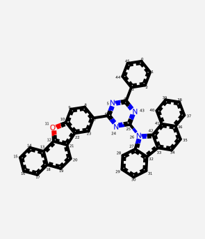 c1ccc(-c2nc(-c3ccc4oc5c6ccccc6ccc5c4c3)nc(-n3c4ccccc4c4ccc5ccccc5c43)n2)cc1